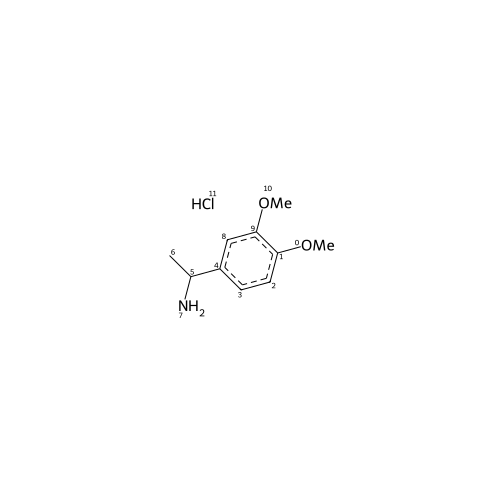 COc1ccc(C(C)N)cc1OC.Cl